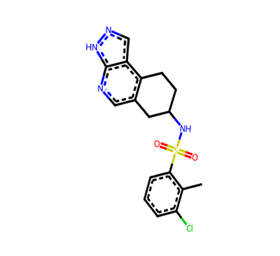 Cc1c(Cl)cccc1S(=O)(=O)NC1CCc2c(cnc3[nH]ncc23)C1